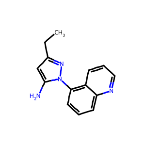 CCc1cc(N)n(-c2cccc3ncccc23)n1